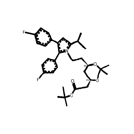 CC(C)c1cc(-c2ccc(F)cc2)c(-c2ccc(F)cc2)n1CC[C@@H]1C[C@H](CC(=O)OC(C)(C)C)OC(C)(C)O1